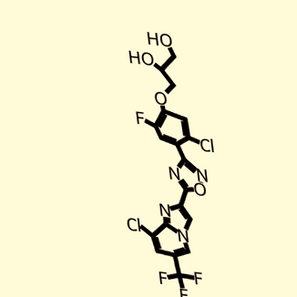 OCC(O)COc1cc(Cl)c(-c2noc(-c3cn4cc(C(F)(F)F)cc(Cl)c4n3)n2)cc1F